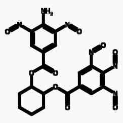 Nc1c(N=O)cc(C(=O)OC2CCCCC2OC(=O)c2cc(N=O)c(N=O)c(N=O)c2)cc1N=O